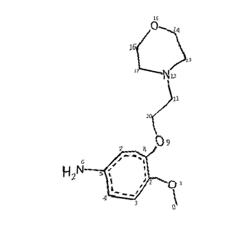 COc1ccc(N)cc1OCCN1CCOCC1